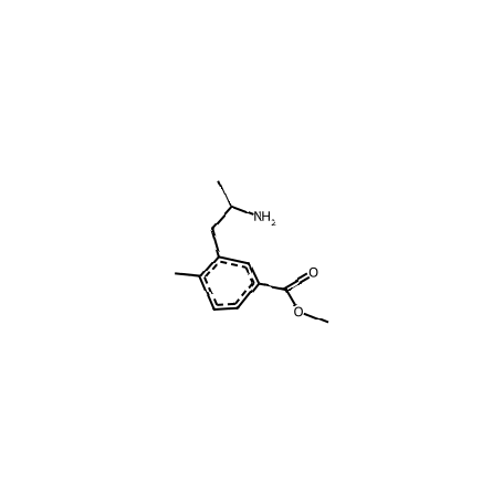 COC(=O)c1ccc(C)c(CC(C)N)c1